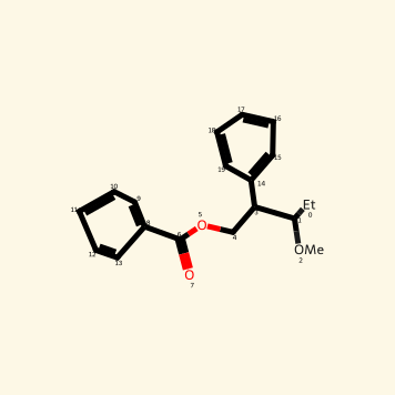 CCC(OC)C(COC(=O)c1ccccc1)c1ccccc1